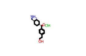 Cl.NC[C@H]1CC[C@H](C(=O)c2ccc(CCO)cc2)CC1